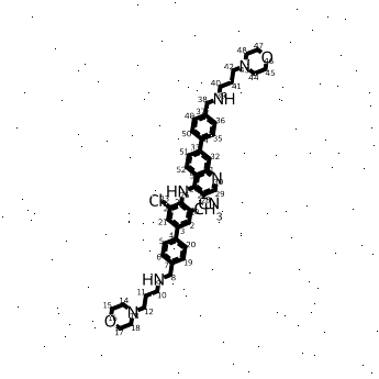 Cc1cc(-c2ccc(CNCCCN3CCOCC3)cc2)cc(Cl)c1Nc1c(C#N)cnc2cc(-c3ccc(CNCCCN4CCOCC4)cc3)ccc12